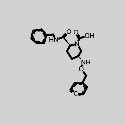 O=C(NCc1ccccc1)[C@@H]1CC[C@@H](NOCc2ccccc2)CN1C(=O)O